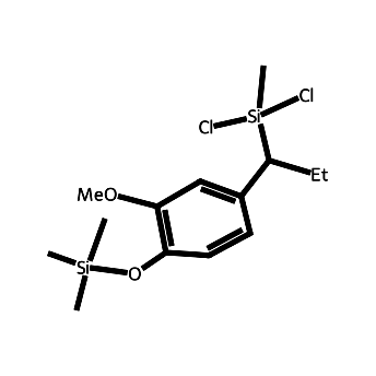 CCC(c1ccc(O[Si](C)(C)C)c(OC)c1)[Si](C)(Cl)Cl